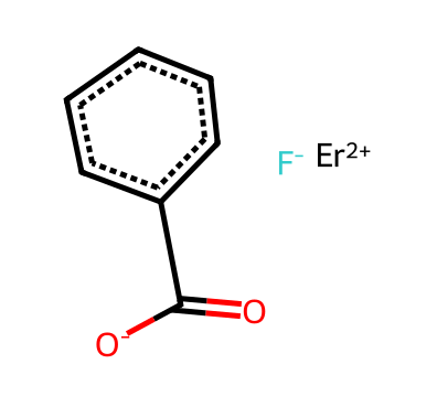 O=C([O-])c1ccccc1.[Er+2].[F-]